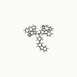 CC12C=CC=CC1Oc1ccccc1C21c2ccccc2-c2cc(N(c3ccc(-c4ccc5sc6ccccc6c5c4)cc3)c3ccc4c(c3)-c3ccccc3C43c4ccccc4Oc4ccccc43)ccc21